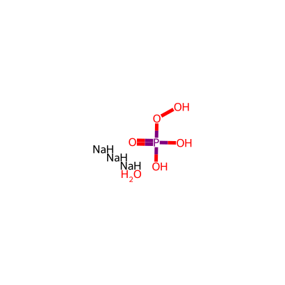 O.O=P(O)(O)OO.[NaH].[NaH].[NaH]